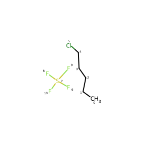 CCCCCCl.FS(F)(F)F